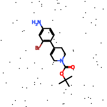 CC(C)(C)OC(=O)N1CC=C(c2ccc(N)cc2Br)CC1